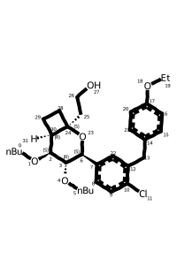 CCCCO[C@@H]1[C@@H](OCCCC)[C@H](c2ccc(Cl)c(Cc3ccc(OCC)cc3)c2)O[C@]2(CCO)CC[C@H]12